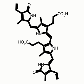 C=CC1=C(C)C(/C=c2/[nH]/c(=C\c3[nH]c(/C=C4\NC(=O)C(C)=C4C=C)c(C)c3CCC(=O)O)c(CCC(=O)O)c2C)NC1=O